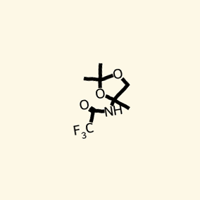 CC1(NC(=O)C(F)(F)F)COC(C)(C)O1